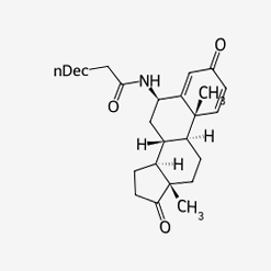 CCCCCCCCCCCC(=O)N[C@@H]1C[C@@H]2[C@H](CC[C@]3(C)C(=O)CC[C@@H]23)[C@@]2(C)C=CC(=O)C=C12